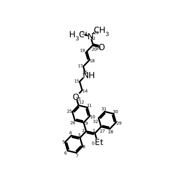 CC/C(=C(\c1ccccc1)c1ccc(OCCNC/C=C/C(=O)N(C)C)cc1)c1ccccc1